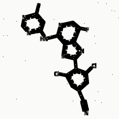 Cc1cc(Nc2ncc(F)c3nc(-c4c(Cl)cc(C#N)cc4Cl)sc23)ncn1